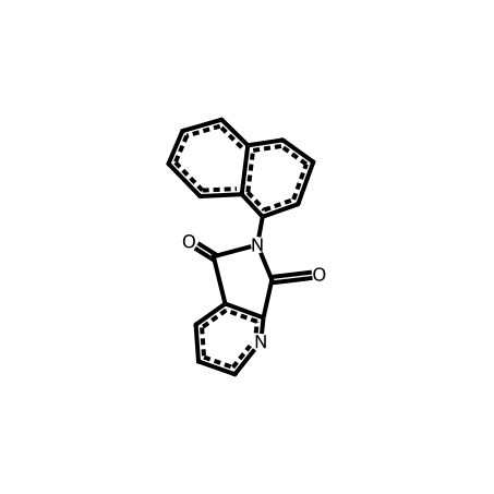 O=C1c2cccnc2C(=O)N1c1cccc2ccccc12